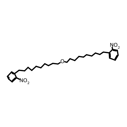 O=[N+]([O-])c1ccccc1CCCCCCCCCCOCCCCCCCCCCc1ccccc1[N+](=O)[O-]